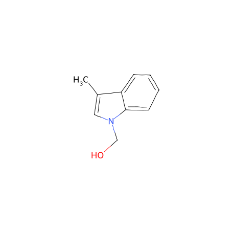 Cc1cn(CO)c2ccccc12